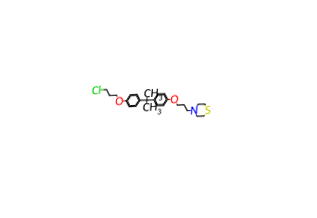 CC(C)(c1ccc(OCCCCl)cc1)c1ccc(OCCCN2CCSCC2)cc1